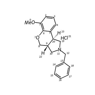 COc1cccc2c1OC[C@H]1CN(Cc3ccccc3)C[C@H]21.Cl